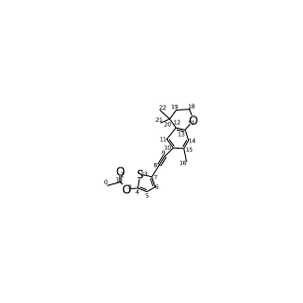 CC(=O)Oc1ccc(C#Cc2cc3c(cc2C)OCCC3(C)C)s1